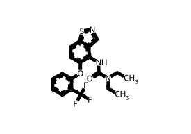 CCN(CC)C(=O)Nc1c(Oc2ccccc2C(F)(F)F)ccc2sncc12